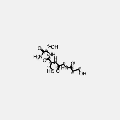 NC(=O)[C@H](CO)NC(=O)C(CO)NC(=O)CNC(=O)CCO